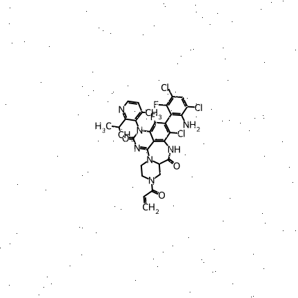 C=CC(=O)N1CCN2c3nc(=O)n(-c4c(C)ccnc4C(C)C)c4c(F)c(-c5c(N)c(Cl)cc(Cl)c5F)c(Cl)c(c34)NC(=O)C2C1